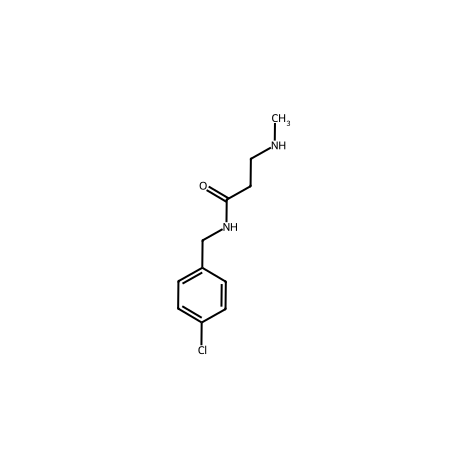 CNCCC(=O)NCc1ccc(Cl)cc1